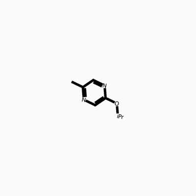 Cc1cnc(OC(C)C)cn1